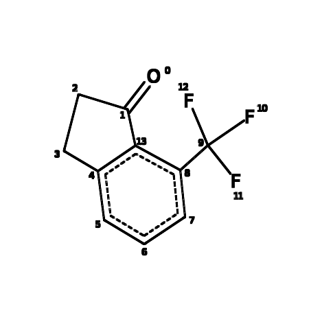 O=C1CCc2cccc(C(F)(F)F)c21